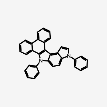 c1ccc(-n2ccc3c4c5c6ccccc6c6ccccc6c5n(-c5ccccc5)c4ccc32)cc1